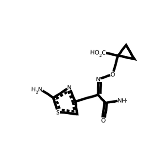 [NH]C(=O)/C(=N\OC1(C(=O)O)CC1)c1csc(N)n1